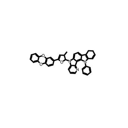 CC1C=C(c2ccc3c(c2)Oc2ccccc2O3)OC1n1c2cccnc2c2c3c(ccc21)c1c(n3-c2ccccc2)C=CCC1